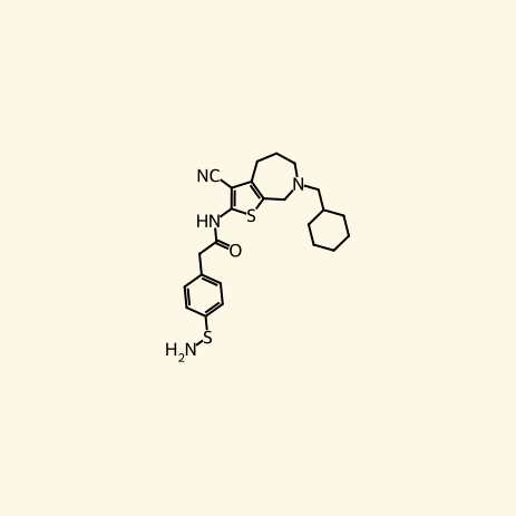 N#Cc1c(NC(=O)Cc2ccc(SN)cc2)sc2c1CCCN(CC1CCCCC1)C2